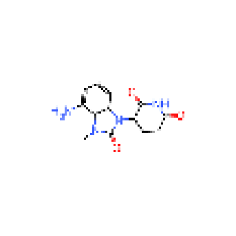 CN1C(=O)N(C2CCC(=O)NC2=O)C2C=CC=C(N)C21